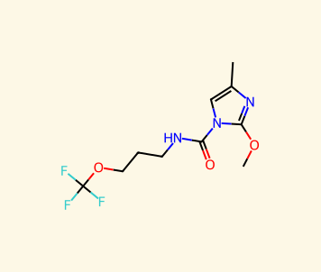 COc1nc(C)cn1C(=O)NCCCOC(F)(F)F